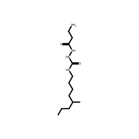 CCCC(C)CCCCNC(=O)NNC(=O)CCN